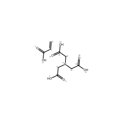 C=CC(=O)O.O=C(O)CN(CC(=O)O)CC(=O)O